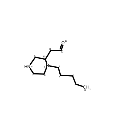 CCCCCN1CCNCC1C[C]=O